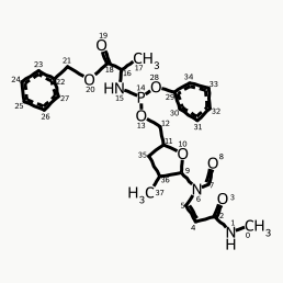 CNC(=O)/C=C\N(C=O)C1OC(COP(NC(C)C(=O)OCc2ccccc2)Oc2ccccc2)CC1C